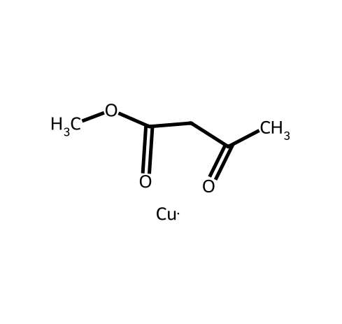 COC(=O)CC(C)=O.[Cu]